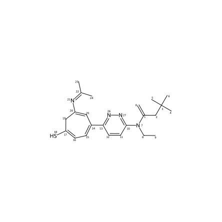 C=C(CC(C)(C)C)N(CC)c1ccc(C2=CC=C(S)CC(N=C(C)C)=C2)nn1